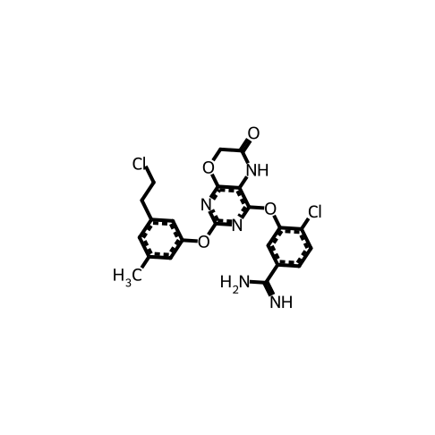 Cc1cc(CCCl)cc(Oc2nc3c(c(Oc4cc(C(=N)N)ccc4Cl)n2)NC(=O)CO3)c1